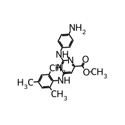 COC(=O)c1cc(Nc2c(C)cc(C)cc2C)nc(Nc2ccc(N)cc2)n1